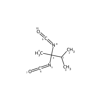 CC(C)C(C)(N=C=O)N=C=O